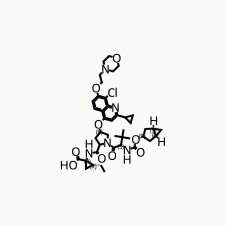 CC[C@@H]1C[C@]1(NC(=O)C1C[C@@H](Oc2cc(C3CC3)nc3c(Cl)c(OCCN4CCOCC4)ccc23)CN1C(=O)[C@@H](NC(=O)O[C@@H]1C[C@@H]2C[C@@H]2C1)C(C)(C)C)C(=O)O